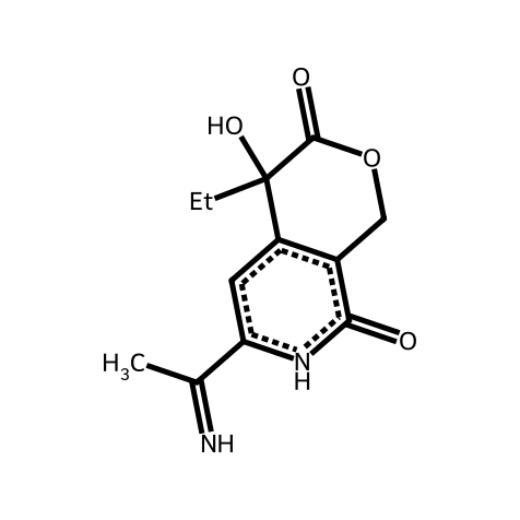 CCC1(O)C(=O)OCc2c1cc(C(C)=N)[nH]c2=O